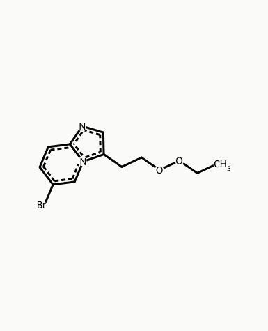 CCOOCCc1cnc2ccc(Br)cn12